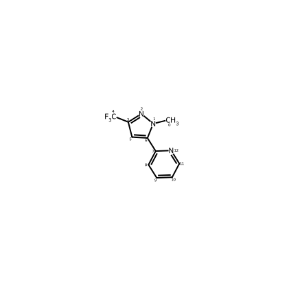 Cn1nc(C(F)(F)F)cc1-c1ccccn1